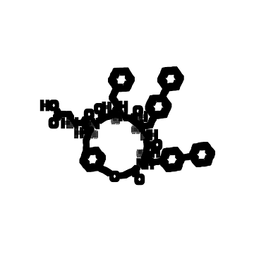 O=C(O)CNC(=O)[C@@H]1Cc2ccc(cc2)OCC(=O)N[C@@H](Cc2ccc(-c3ccccc3)cc2)C(=O)N[C@H](Cc2ccc(-c3ccccc3)cc2)C(=O)N[C@@H](CCc2ccccc2)C(=O)N1